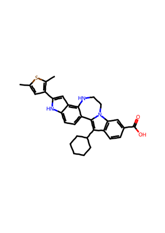 Cc1cc(-c2cc3c4c(ccc3[nH]2)-c2c(C3CCCCC3)c3ccc(C(=O)O)cc3n2CCN4)c(C)s1